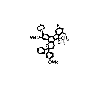 COc1ccc(C2(c3ccccc3)C=Cc3c4c(c5cc(N6CCOCC6)c(OC)cc5c3O2)-c2cc(F)cc(F)c2C4(C)C)cc1